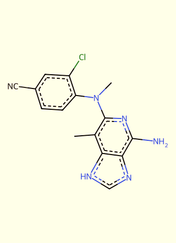 Cc1c(N(C)c2ccc(C#N)cc2Cl)nc(N)c2nc[nH]c12